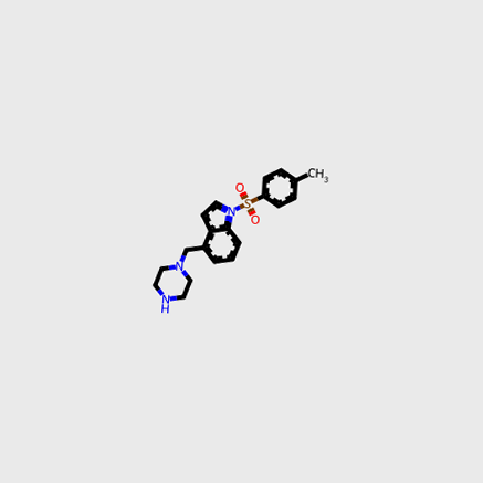 Cc1ccc(S(=O)(=O)n2ccc3c(CN4CCNCC4)cccc32)cc1